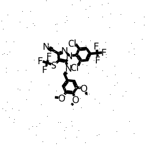 COc1cc(C=Nc2c(SC(F)(F)F)c(C#N)nn2-c2c(Cl)cc(C(F)(F)F)cc2Cl)cc(OC)c1OC